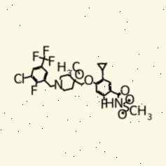 COC1(COc2cc(F)c(C(=O)NS(C)(=O)=O)cc2C2CC2)CCN(Cc2cc(C(F)(F)F)cc(Cl)c2F)CC1